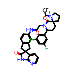 O=C(CN1C(=O)C2(CCCN2CC(F)(F)F)CCC1c1cc(F)cc(F)c1)Nc1ccc2c(c1)CC1(C2)C(=O)Nc2ncccc21